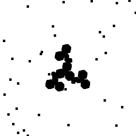 CC(=CC=C(c1ccccc1)c1ccccc1)c1ccc(N(c2ccc(C(C)=CC=C(c3ccccc3)c3ccccc3)cc2)c2ccc(C(C)=CC=C(c3ccccc3)c3ccccc3)cc2)cc1